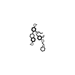 CCCN(Cc1ccc(OCCN2CCCCC2)c(F)c1)c1cc(OC)ccc1C1CCc2cc(OC)ccc2C1